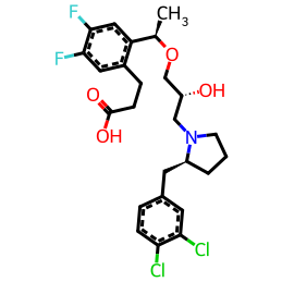 C[C@@H](OC[C@H](O)CN1CCC[C@H]1Cc1ccc(Cl)c(Cl)c1)c1cc(F)c(F)cc1CCC(=O)O